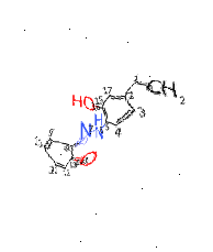 C=Cc1ccc(N/N=C2/C=CC=CC2=O)c(O)c1